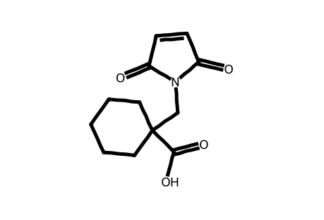 O=C1C=CC(=O)N1CC1(C(=O)O)CCCCC1